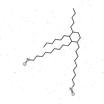 CCCCCCC1C(CCCCC)CCC(CCCCCCCCCN=O)C1CCCCCCCCCN=O